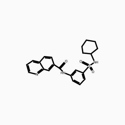 O=C(Nc1cccc(S(=O)(=O)NC2CCCCC2)c1)c1ccc2cccnc2c1